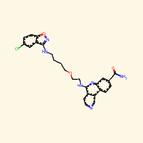 NC(=O)c1ccc2c(c1)nc(NCCOCCCCNc1noc3ccc(Cl)cc13)c1ccncc12